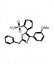 COc1cccc(-c2nc(Cc3ccccc3)oc2-c2ccccc2S(N)(=O)=O)c1